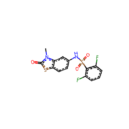 Cn1c(=O)sc2ccc(NS(=O)(=O)c3c(F)cccc3F)cc21